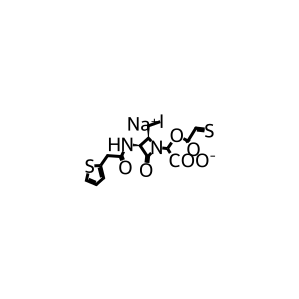 O=C(Cc1cccs1)N[C@@H]1C(=O)N(C(OC(=O)C=S)C(=O)[O-])[C@@H]1CI.[Na+]